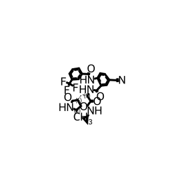 C[C@@H]1C[C@@H](C[C@H](NC(=O)c2cc(C#N)ccc2NC(=O)c2cccc(C(F)(F)F)c2)C(=O)C(=O)NC2CC2)C(=O)N1